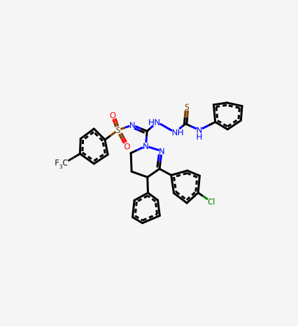 O=S(=O)(/N=C(/NNC(=S)Nc1ccccc1)N1CCC(c2ccccc2)C(c2ccc(Cl)cc2)=N1)c1ccc(C(F)(F)F)cc1